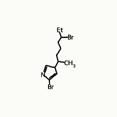 CCC(Br)CCCC(C)C1C=NC(Br)=C1